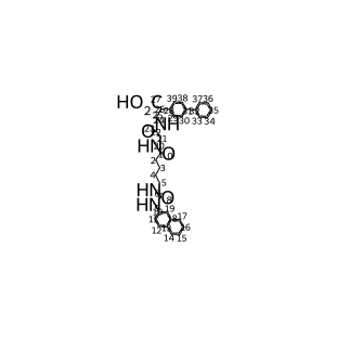 O=C(CCCCNC(=O)Nc1ccc2ccccc2c1)NCC(=O)NCC(C(=O)O)c1ccc(-c2ccccc2)cc1